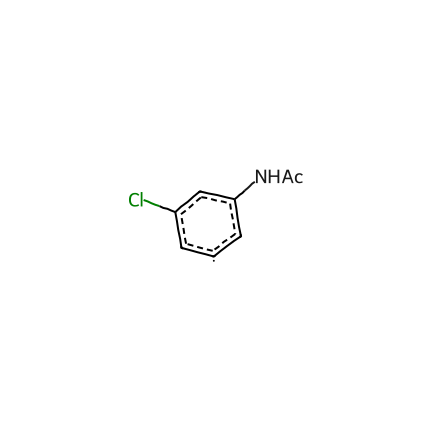 CC(=O)Nc1c[c]cc(Cl)c1